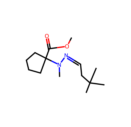 COC(=O)C1(N(C)/N=C\CC(C)(C)C)CCCC1